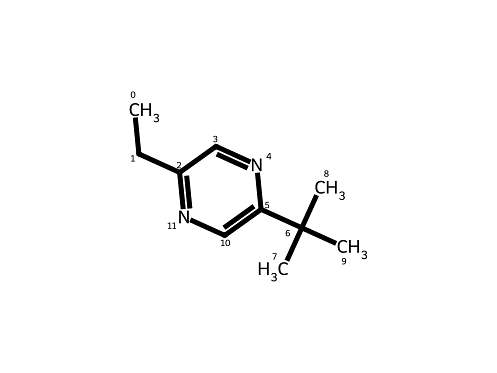 CCc1cnc(C(C)(C)C)cn1